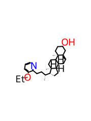 CCOc1cccnc1CC[C@@H](C)[C@H]1CC[C@H]2[C@@H]3CC=C4C[C@@H](O)CC[C@]4(C)[C@H]3CC[C@]12C